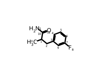 CC(Cc1cccc(F)c1)C(N)=O